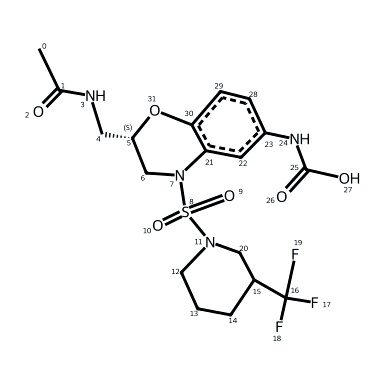 CC(=O)NC[C@H]1CN(S(=O)(=O)N2CCCC(C(F)(F)F)C2)c2cc(NC(=O)O)ccc2O1